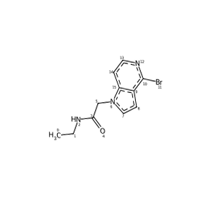 CCNC(=O)Cn1ccc2c(Br)nccc21